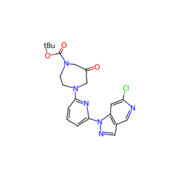 CC(C)(C)OC(=O)N1CCN(c2cccc(-n3ncc4cnc(Cl)cc43)n2)CC(=O)C1